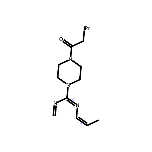 C=N/C(=N\C=C/C)N1CCN(C(=O)CC(C)C)CC1